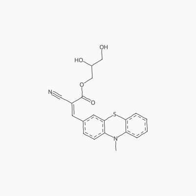 CN1c2ccccc2Sc2cc(C=C(C#N)C(=O)OCC(O)CO)ccc21